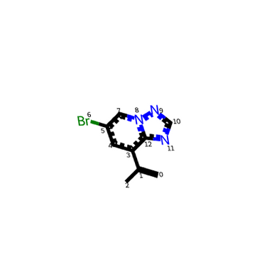 C=C(C)c1cc(Br)cn2ncnc12